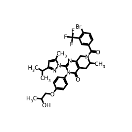 Cc1cc(C(C)C)nn1-c1nc2c(c(=O)n1-c1ccc(OCC(C)O)cc1)CC(C)N(C(=O)c1ccc(Br)c(C(F)(F)F)c1)C2